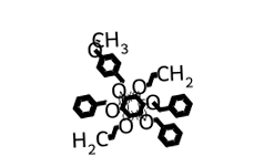 C=CCO[C@@H]1[C@@H](OCc2ccccc2)[C@H](OCc2ccc(OC)cc2)[C@@H](OCC=C)[C@H](OCc2ccccc2)[C@@H]1OCc1ccccc1